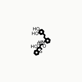 O=C(Nc1ccccc1CCc1ccc(O)c(O)c1)C(=O)C1=C(O)c2ccccc2SC1